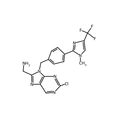 Cn1cc(C(F)(F)F)nc1-c1ccc(Cn2c(CN)nc3cnc(Cl)nc32)cc1